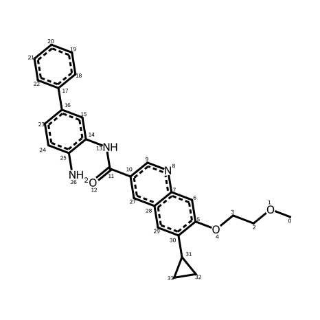 COCCOc1cc2ncc(C(=O)Nc3cc(-c4ccccc4)ccc3N)cc2cc1C1CC1